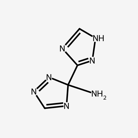 NC1(c2nc[nH]n2)N=CN=N1